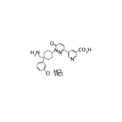 Cl.Cl.NCC1(c2cccc(Cl)c2)CCC(n2nc(-c3cncc(C(=O)O)c3)ccc2=O)CC1